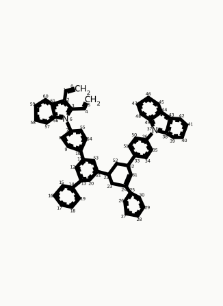 C=Cc1c(C=C)n(-c2ccc(-c3cc(-c4ccccc4)cc(C4CC(c5ccccc5)=CC(c5ccc(-n6c7ccccc7c7ccccc76)cc5)C4)c3)cc2)c2ccccc12